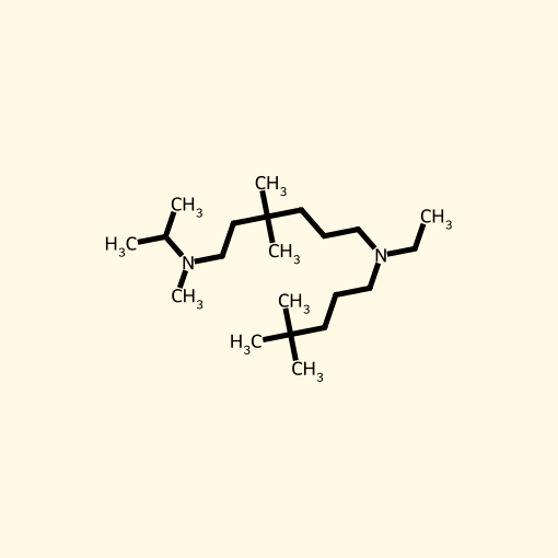 CCN(CCCC(C)(C)C)CCCC(C)(C)CCN(C)C(C)C